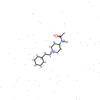 CC(=O)N(C)C1CCN(CCC2CCCCC2)CC1